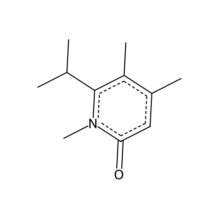 Cc1cc(=O)n(C)c(C(C)C)c1C